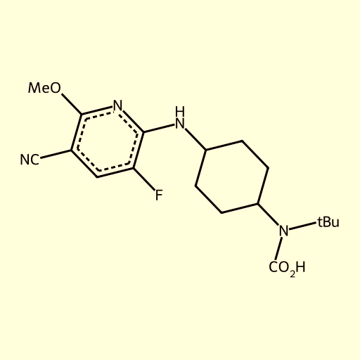 COc1nc(NC2CCC(N(C(=O)O)C(C)(C)C)CC2)c(F)cc1C#N